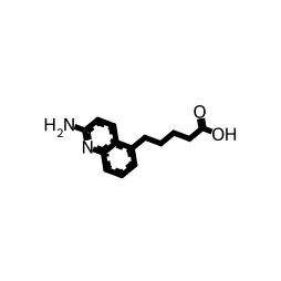 Nc1ccc2c(CCCCC(=O)O)cccc2n1